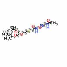 CCC(C)COCC(COCC(C)CC)OCCCSCCC(=O)NCO/N=C/CNC(C)=O